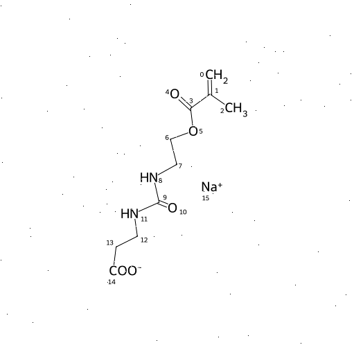 C=C(C)C(=O)OCCNC(=O)NCCC(=O)[O-].[Na+]